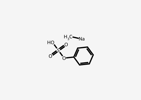 O=S(=O)(O)Oc1ccccc1.[CH3][Na]